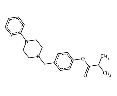 CC(C)C(=O)Oc1ccc(CN2CCN(c3ccccn3)CC2)cc1